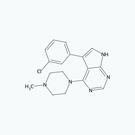 CN1CCN(c2ncnc3[nH]cc(-c4cccc(Cl)c4)c23)CC1